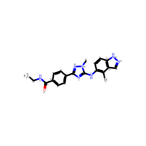 CCc1c(Nc2nc(-c3ccc(C(=O)NCC(F)(F)F)cc3)nn2C)ccc2[nH]ncc12